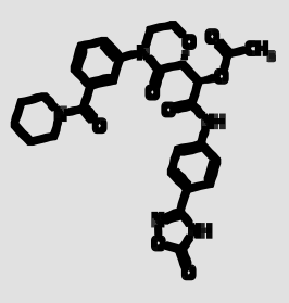 CC(=O)O[C@@H](C(=O)Nc1ccc(-c2noc(=O)[nH]2)cc1)[C@H]1OCCN(c2cccc(C(=O)N3CCCCC3)c2)C1=O